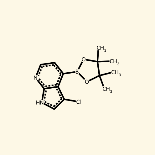 CC1(C)OB(c2ccnc3[nH]cc(Cl)c23)OC1(C)C